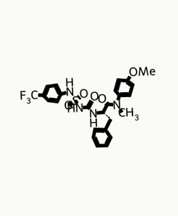 COc1ccc(N(C)C(=O)[C@H](Cc2ccccc2)NC(=O)NS(=O)(=O)Nc2ccc(C(F)(F)F)cc2)cc1